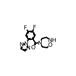 O=C(c1cc(F)c(F)cc1-n1nccn1)N1CCNOCC1